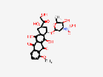 COc1cccc2c1C(=O)c1c(O)c3c(c(O)c1C2=O)C[C@@](O)(C(=O)CO)C[C@@H]3OC1CC([NH+]([O-])O)C(O)C(C)O1